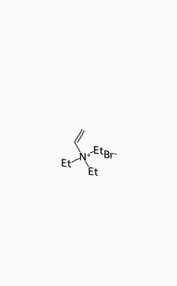 C=C[N+](CC)(CC)CC.[Br-]